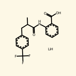 CC(Cc1ccc(C(F)(F)F)cc1)C(=O)Nc1ccccc1C(=O)O.[LiH]